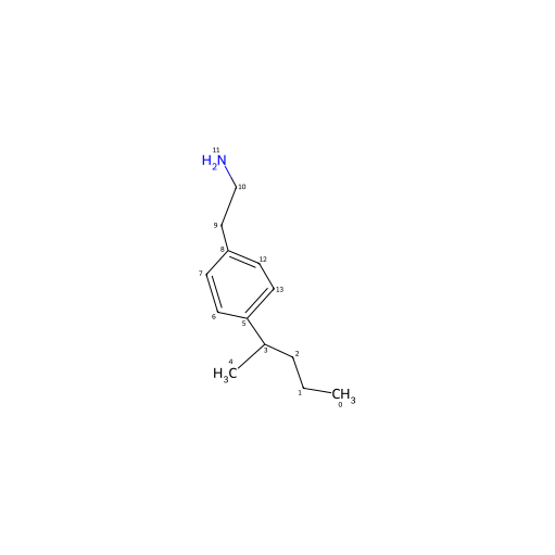 CCCC(C)c1ccc(CCN)cc1